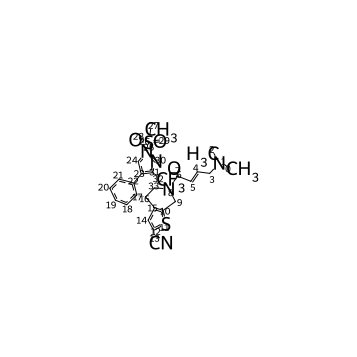 CN(C)C/C=C/C(=O)N1Cc2sc(C#N)cc2[C@H](c2ccccc2-c2cn(S(C)(=O)=O)nc2C(F)(F)F)C1